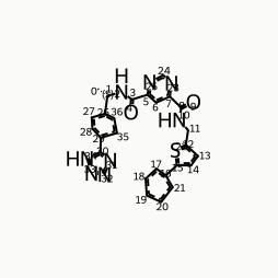 C[C@H](NC(=O)c1cc(C(=O)NCc2ccc(-c3ccccc3)s2)ncn1)c1ccc(-c2nnn[nH]2)cc1